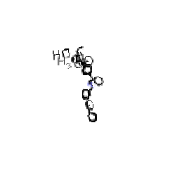 CN(CC(=O)O)S(=O)(=O)c1ccc(C(=O)/C=C/c2cccc(OCc3ccccc3)c2)cc1